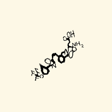 NC(=O)C(CCC(=O)O)N1Cc2c(/C=C\c3cnc(-c4ccc(OC(F)(F)F)cc4)o3)cccc2C1=O